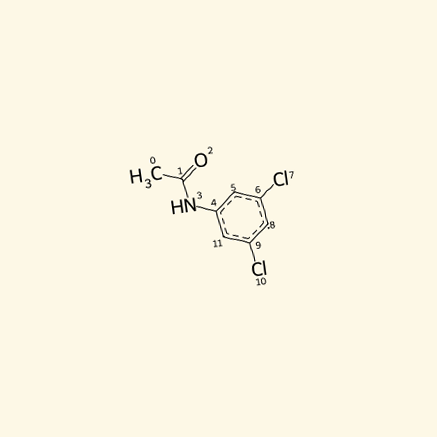 CC(=O)Nc1cc(Cl)[c]c(Cl)c1